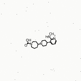 CNc1ncccc1C1CCN(C2CCCN(C(=O)O)CC2)CC1